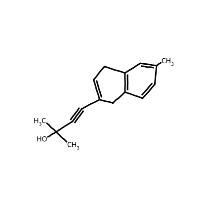 Cc1ccc2c(c1)CC=C(C#CC(C)(C)O)C2